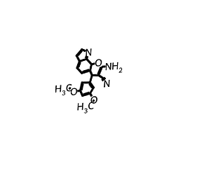 COc1cc(OC)cc(C2C3=CC=C4C=CN=C4C3OC(N)=C2C#N)c1